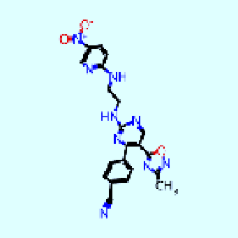 Cc1noc(-c2cnc(NCCNc3ccc([N+](=O)[O-])cn3)nc2-c2ccc(C#N)cc2)n1